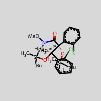 CON(C)C(=O)[C@@](O[Si](C)(C)C(C)(C)C)(c1ccccc1Cl)[C@@](O[Si](C)(C)C(C)(C)C)(C(C)=O)c1ccccc1Cl